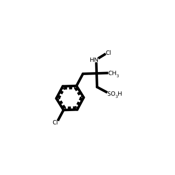 CC(Cc1ccc(Cl)cc1)(CS(=O)(=O)O)NCl